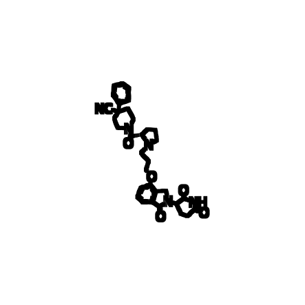 N#CC1(c2ccccc2)CCN(C(=O)[C@H]2CCCN2CCCOc2cccc3c2CN(C2CCC(=O)NC2=O)C3=O)CC1